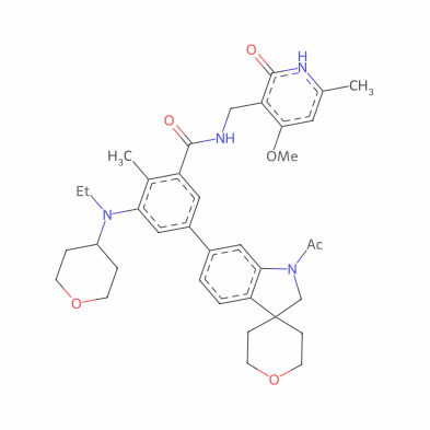 CCN(c1cc(-c2ccc3c(c2)N(C(C)=O)CC32CCOCC2)cc(C(=O)NCc2c(OC)cc(C)[nH]c2=O)c1C)C1CCOCC1